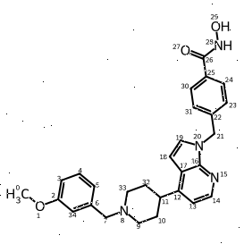 COc1cccc(CN2CCC(c3ccnc4c3ccn4Cc3ccc(C(=O)NO)cc3)CC2)c1